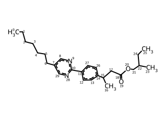 CCCCCCCc1cnc(-c2ccc(C(C)CC(=O)OCC(C)CC)cc2)nc1